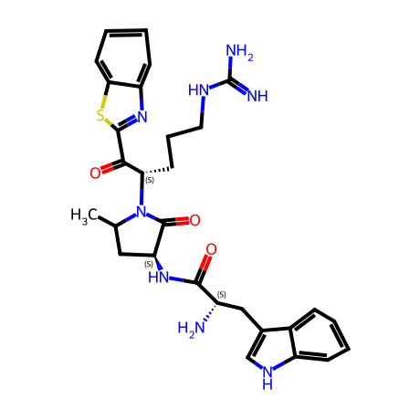 CC1C[C@H](NC(=O)[C@@H](N)Cc2c[nH]c3ccccc23)C(=O)N1[C@@H](CCCNC(=N)N)C(=O)c1nc2ccccc2s1